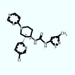 Cc1cc(NC(=O)N[C@@H]2CCN(c3ccncn3)C[C@H]2c2ccc(Cl)cn2)sn1